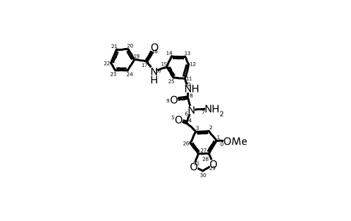 COc1cc(C(=O)N(N)C(=O)Nc2cccc(NC(=O)c3ccccc3)c2)cc2c1OCO2